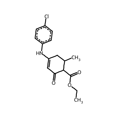 CCOC(=O)C1C(=O)C=C(Nc2ccc(Cl)cc2)CC1C